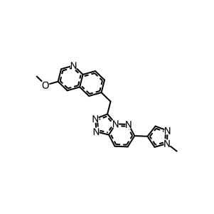 COc1cnc2ccc(Cc3nnc4ccc(-c5cnn(C)c5)nn34)cc2c1